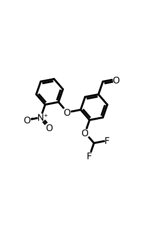 O=Cc1ccc(OC(F)F)c(Oc2ccccc2[N+](=O)[O-])c1